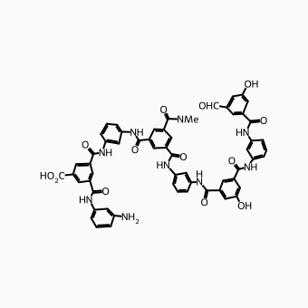 CNC(=O)c1cc(C(=O)Nc2cccc(NC(=O)c3cc(O)cc(C(=O)Nc4cccc(NC(=O)c5cc(O)cc(C=O)c5)c4)c3)c2)cc(C(=O)Nc2cccc(NC(=O)c3cc(C(=O)O)cc(C(=O)Nc4cccc(N)c4)c3)c2)c1